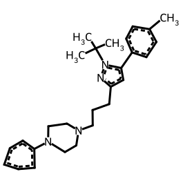 Cc1ccc(-c2cc(CCCN3CCN(c4ccccc4)CC3)nn2C(C)(C)C)cc1